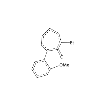 CCc1ccccc(-c2ccccc2OC)c1=O